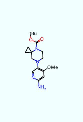 COc1cc(N)ncc1N1CCN(C(=O)OC(C)(C)C)C2(CC2)C1